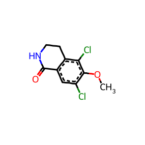 COc1c(Cl)cc2c(c1Cl)CCNC2=O